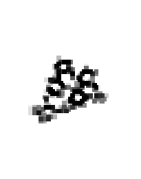 CC(O)C(=O)[O-].CN1CCCC1c1cccnc1.CN1CCCC1c1cccnc1.O.[Cl-].[Zn+2]